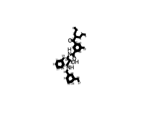 CCCC(CCC)C(=O)c1cc(C)cc(C(=O)N[C@@H](Cc2ccccc2)[C@H](O)CNCc2cccc(CC)c2)c1